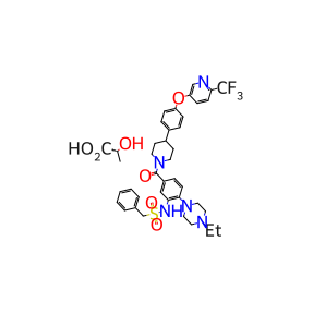 CCN1CCN(c2ccc(C(=O)N3CCC(c4ccc(Oc5ccc(C(F)(F)F)nc5)cc4)CC3)cc2NS(=O)(=O)Cc2ccccc2)CC1.C[C@H](O)C(=O)O